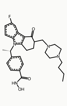 CCCCN1CCN(CC2CCc3c(c4cc(F)ccc4n3[C@@H](C)c3ccc(C(=O)NO)cc3)C2=O)CC1